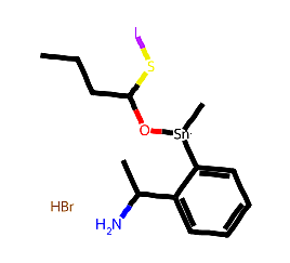 Br.CCCC([O][Sn]([CH3])[c]1ccccc1C(C)N)SI